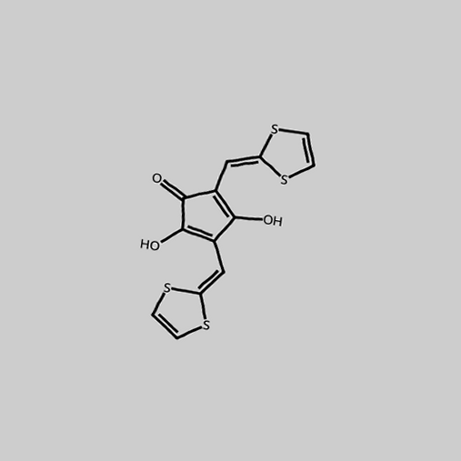 O=C1C(O)=C(C=C2SC=CS2)C(O)=C1C=C1SC=CS1